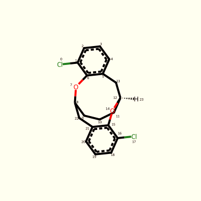 Clc1cccc2c1OC1CCC[C@H](C2)Oc2c(Cl)cccc2C1